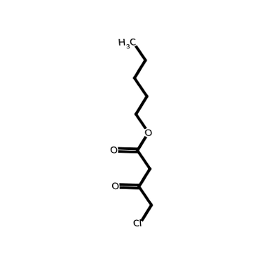 CCCCCOC(=O)CC(=O)CCl